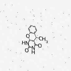 CC1c2ccccc2Oc2[nH]c(=O)[nH]c(=O)c21